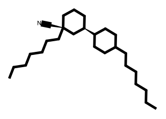 CCCCCCCC1CCC([C@@H]2CCC[C@@](C#N)(CCCCCCC)C2)CC1